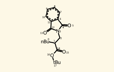 CCCCC(CN1C(=O)c2ccccc2C1=O)C(=O)OC(C)(C)C